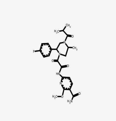 COc1nc(NC(=O)C(=O)N2CC(C)N(C(=O)C(C)C)CC2c2ccc(F)cc2)ccc1C(N)=O